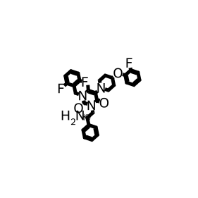 Cc1c(N2CCC(Oc3ccccc3F)CC2)c(=O)n(C[C@@H](N)c2ccccc2)c(=O)n1Cc1c(F)cccc1F